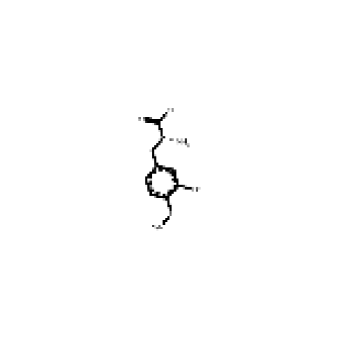 COc1ccc(C[C@@H](N)C(=O)O)cc1Br